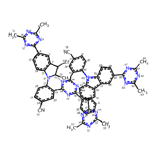 CCC1c2cc(-c3nc(C)nc(C)n3)ccc2N(c2ccc(C#N)cc2-c2nc(-c3ccccc3)nc(-c3cc(C#N)ccc3-n3c4ccc(-c5nc(C)nc(C)n5)cc4c4cc(-c5nc(C)nc(C)n5)ccc43)n2)C1C